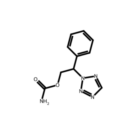 NC(=O)OCC(c1ccccc1)n1ncnn1